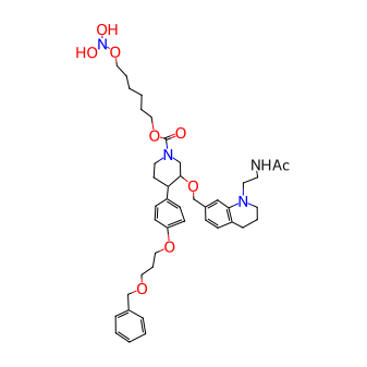 CC(=O)NCCN1CCCc2ccc(COC3CN(C(=O)OCCCCCCON(O)O)CCC3c3ccc(OCCCOCc4ccccc4)cc3)cc21